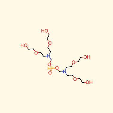 O=[PH](OCN(CCOCCO)CCOCCO)OCN(CCOCCO)CCOCCO